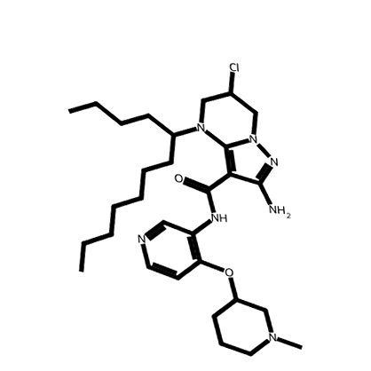 CCCCCCCC(CCCC)N1CC(Cl)Cn2nc(N)c(C(=O)Nc3cnccc3OC3CCCN(C)C3)c21